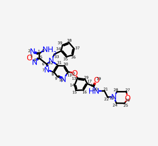 Nc1nonc1-c1nc2cnc(Oc3cccc(C(=O)NCCN4CCOCC4)c3)cc2n1Cc1ccccc1